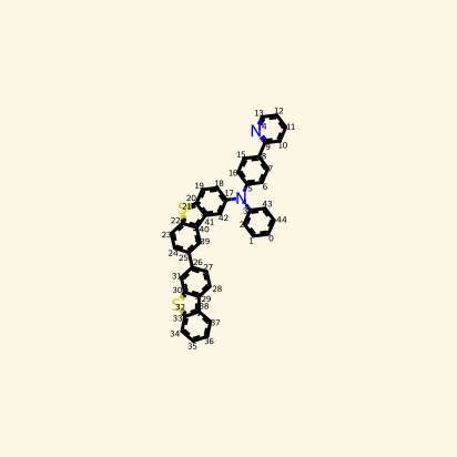 c1ccc(N(c2ccc(-c3ccccn3)cc2)c2ccc3sc4ccc(-c5ccc6c(c5)sc5ccccc56)cc4c3c2)cc1